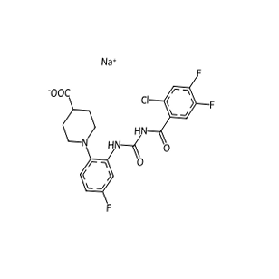 O=C(NC(=O)c1cc(F)c(F)cc1Cl)Nc1cc(F)ccc1N1CCC(C(=O)[O-])CC1.[Na+]